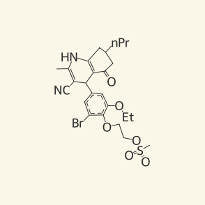 CCCC1CC(=O)C2=C(C1)NC(C)=C(C#N)C2c1cc(Br)c(OCCOS(C)(=O)=O)c(OCC)c1